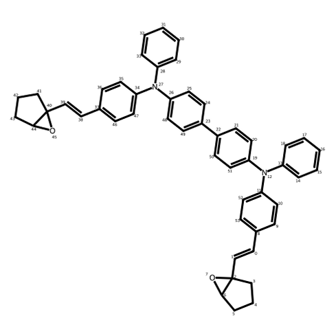 C(=CC12CCCC1O2)c1ccc(N(c2ccccc2)c2ccc(-c3ccc(N(c4ccccc4)c4ccc(C=CC56CCCC5O6)cc4)cc3)cc2)cc1